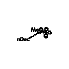 CCCCCCCCCCCCCCCCCCOC[C@H](COC(c1ccccc1)(c1ccccc1)c1ccccc1)OC